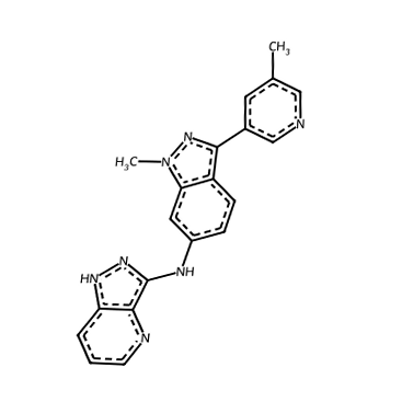 Cc1cncc(-c2nn(C)c3cc(Nc4n[nH]c5cccnc45)ccc23)c1